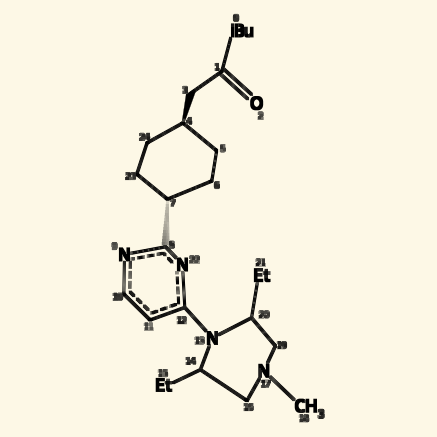 CCC(C)C(=O)C[C@H]1CC[C@H](c2nccc(N3C(CC)CN(C)CC3CC)n2)CC1